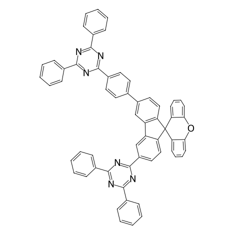 c1ccc(-c2nc(-c3ccccc3)nc(-c3ccc(-c4ccc5c(c4)-c4cc(-c6nc(-c7ccccc7)nc(-c7ccccc7)n6)ccc4C54c5ccccc5Oc5ccccc54)cc3)n2)cc1